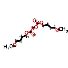 COCCCCOC(=O)OOC(=O)OCCCCOC